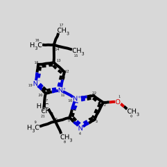 COc1cnc(C(C)(C)C)[n+](-[n+]2cc(C(C)(C)C)cnc2C)c1